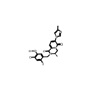 Cc1cn(-c2ccc3n(c2=O)C[C@@H](C)N(Cc2cc(OC(C)C)c(Cl)cc2F)C3=O)cn1